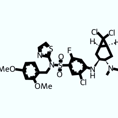 COc1ccc(CN(c2nccs2)S(=O)(=O)c2cc(Cl)c(N[C@H]3C[C@@H]4[C@H](C[C@@H]3N(C)C)C4(Cl)Cl)cc2F)c(OC)c1